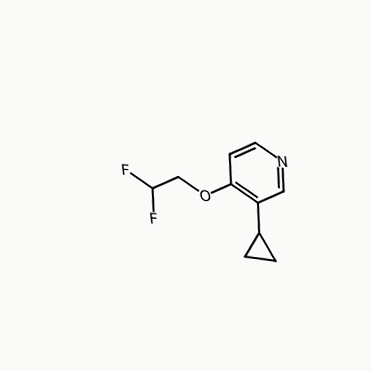 FC(F)COc1ccncc1C1CC1